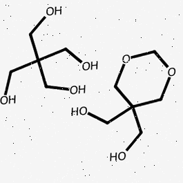 OCC(CO)(CO)CO.OCC1(CO)COCOC1